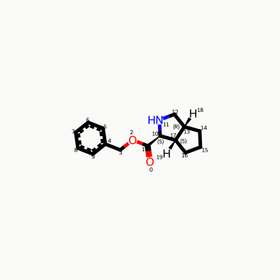 O=C(OCc1ccccc1)[C@H]1NC[C@@H]2CCC[C@@H]21